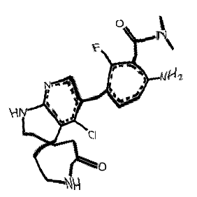 CN(C)C(=O)c1c(N)ccc(-c2cnc3c(c2Cl)C2(CCNC(=O)C2)CN3)c1F